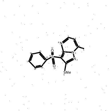 CSc1nn2c(C)ccnc2c1S(=O)(=O)c1ccccc1